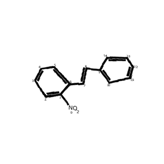 O=[N+]([O-])c1ccccc1C=Cc1ccccc1